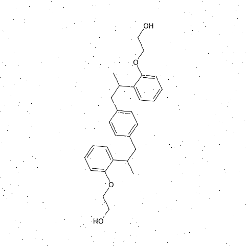 CC(Cc1ccc(CC(C)c2ccccc2OCCO)cc1)c1ccccc1OCCO